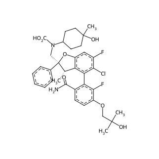 C[C@H]1c2c(cc(F)c(Cl)c2-c2c(C(N)=O)ccc(OCC(C)(C)O)c2F)O[C@]1(CN(C(=O)O)C1CCC(C)(O)CC1)c1ccccc1